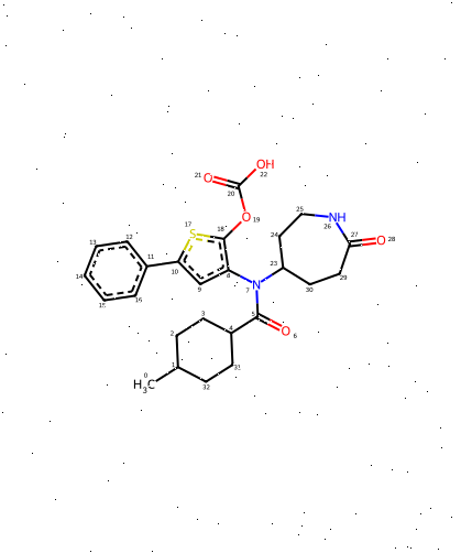 CC1CCC(C(=O)N(c2cc(-c3ccccc3)sc2OC(=O)O)C2CCNC(=O)CC2)CC1